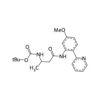 COc1ccc(-c2ccccn2)c(NC(=O)CC(C)NC(=O)OC(C)(C)C)c1